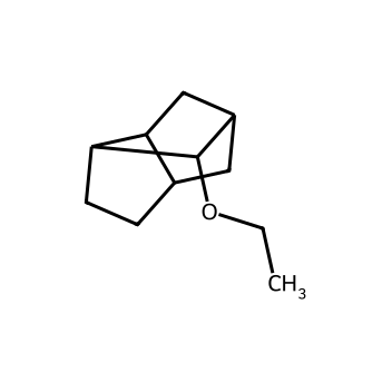 CCOC1C2CC3CCC1C3C2